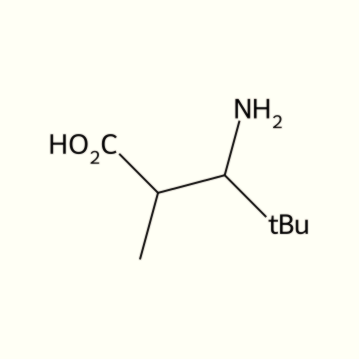 CC(C(=O)O)C(N)C(C)(C)C